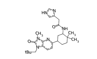 Cn1c(=O)n(CC(C)(C)C)c2ccc(C3CCC(C)(C)C(NC(=O)Cc4c[nH]cn4)C3)nc21